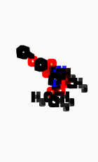 COC(=O)C1(C)CN(C(=O)OC(C)(C)C)CCC1NS(=O)(=O)c1ccc(OCc2ccccc2)cc1